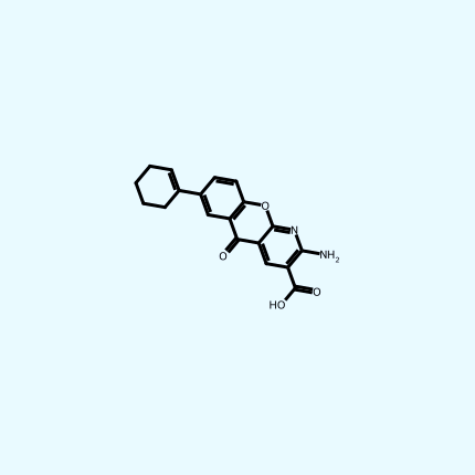 Nc1nc2oc3ccc(C4=CCCCC4)cc3c(=O)c2cc1C(=O)O